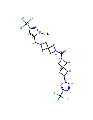 Cn1nc(C(F)(F)F)cc1CN1CC2(C1)CN(C(=O)N1CC3(CC(n4cnc(C(F)(F)F)n4)C3)C1)C2